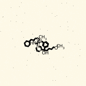 CNCC(CC1CCCCC1)NC(=O)N1CCC[C@@H]([C@@](O)(CCCCOC)c2cccc(Cl)c2)C1